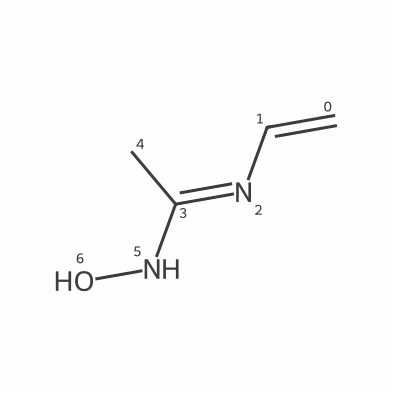 C=C/N=C(\C)NO